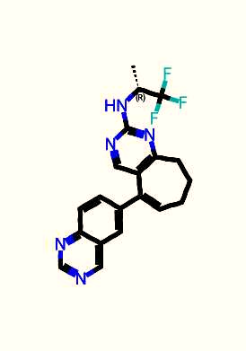 C[C@@H](Nc1ncc2c(n1)CCCC=C2c1ccc2ncncc2c1)C(F)(F)F